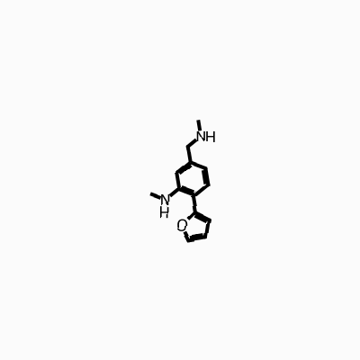 CNCc1ccc(-c2ccco2)c(NC)c1